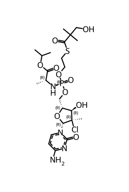 CC(C)OC(=O)[C@@H](C)N[P@](=O)(OCCSC(=O)C(C)(C)CO)OC[C@H]1O[C@@H](n2ccc(N)nc2=O)[C@](C)(Cl)[C@@H]1O